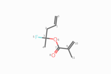 C=CCC(C)(F)OC(=O)C(=C)C